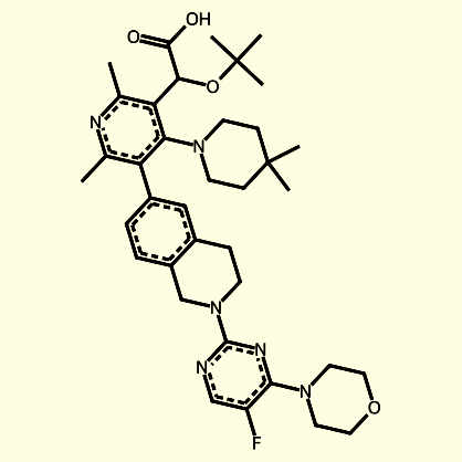 Cc1nc(C)c(C(OC(C)(C)C)C(=O)O)c(N2CCC(C)(C)CC2)c1-c1ccc2c(c1)CCN(c1ncc(F)c(N3CCOCC3)n1)C2